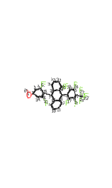 COc1cc(F)c(-c2c3ccccc3c(-c3c(F)c(F)c(C(F)(F)F)c(F)c3F)c3c(F)cccc23)c(F)c1